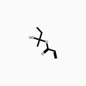 [CH2]CC(C)(O)OC(=O)C=C